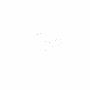 CC(C)CN(C[C@@H](O)[C@H](Cc1ccccc1)NC(=O)OC1CO[C@H]2OCC[C@@H]12)C1CC2(CCCC2)NC1=O